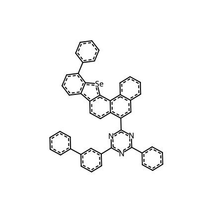 c1ccc(-c2cccc(-c3nc(-c4ccccc4)nc(-c4cc5ccccc5c5c4ccc4c6cccc(-c7ccccc7)c6[se]c45)n3)c2)cc1